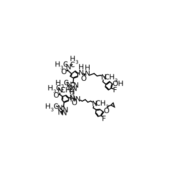 CN(CCCCNC(=O)Nc1cc(C(=O)N(C)C)cc(-c2nnnn2C)c1)Cc1ccc(F)c(O)c1.CN(CCCCNC(=O)Nc1cc(C(=O)N(C)C)cc(-c2nnnn2C)c1)Cc1ccc(F)c(OCC2CC2)c1